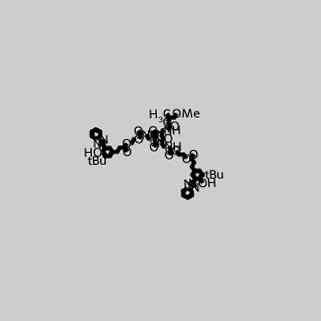 COCC(C)OC(=O)NCn1c(=O)n(CNC(=O)OCCOC(=O)CCc2cc(-n3nc4ccccc4n3)c(O)c(C(C)(C)C)c2)c(=O)n(CNC(=O)OCCOC(=O)CCc2cc(-n3nc4ccccc4n3)c(O)c(C(C)(C)C)c2)c1=O